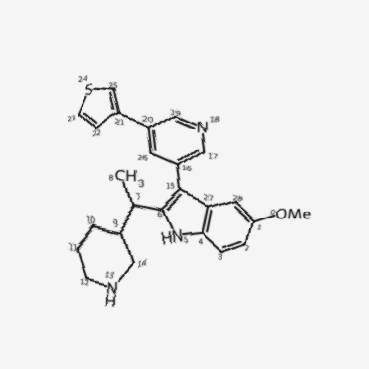 COc1ccc2[nH]c(C(C)C3CCCNC3)c(-c3cncc(-c4ccsc4)c3)c2c1